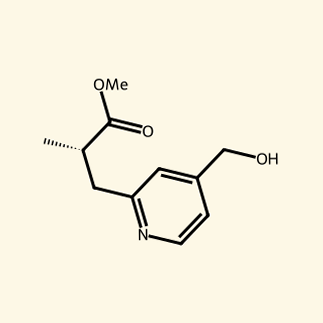 COC(=O)[C@@H](C)Cc1cc(CO)ccn1